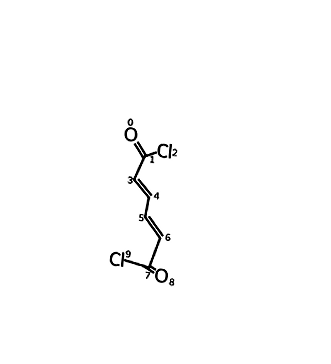 O=C(Cl)C=CC=CC(=O)Cl